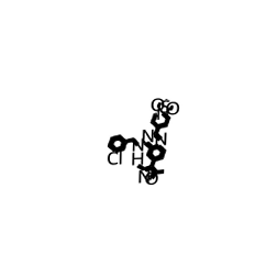 Cc1noc(C)c1-c1ccc2nc(C3=CCN(S(C)(=O)=O)CC3)nc(NCc3cccc(Cl)c3)c2c1